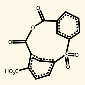 O=C1OC(=O)c2cc(ccc2C(=O)O)S(=O)(=O)c2cccc1c2